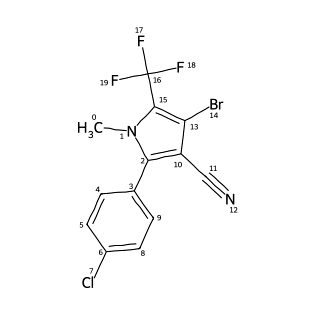 Cn1c(-c2ccc(Cl)cc2)c(C#N)c(Br)c1C(F)(F)F